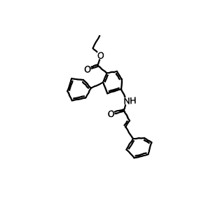 CCOC(=O)c1ccc(NC(=O)/C=C/c2ccccc2)cc1-c1ccccc1